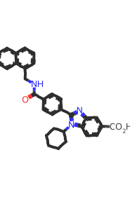 O=C(O)c1ccc2c(c1)nc(-c1ccc(C(=O)NCc3cccc4ccccc34)cc1)n2C1CCCCC1